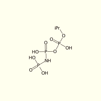 CC(C)OP(=O)(O)OP(=O)(O)NP(=O)(O)O